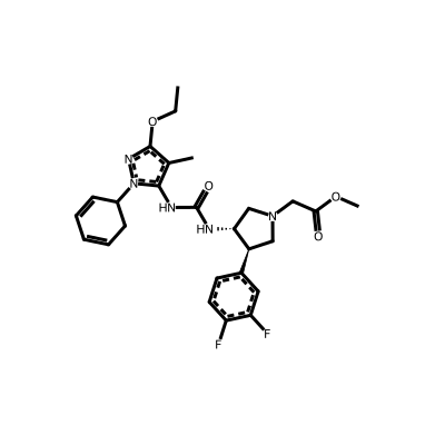 CCOc1nn(C2C=CC=CC2)c(NC(=O)N[C@@H]2CN(CC(=O)OC)C[C@H]2c2ccc(F)c(F)c2)c1C